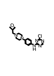 Clc1ncnc(Nc2ccc(N3CCN(CC4COC4)CC3)cc2)n1